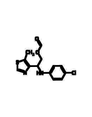 Cc1scnc1C(COC=O)Nc1ccc(Cl)cc1